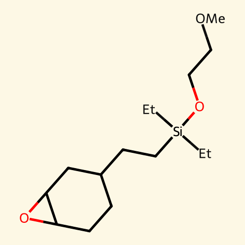 CC[Si](CC)(CCC1CCC2OC2C1)OCCOC